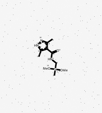 CO[Si](C)(CNC(=O)c1c(C)n[nH]c1C)OC